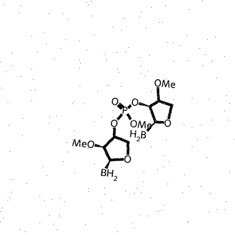 B[C@@H]1OCC(OP(=O)(OC)O[C@H]2C(OC)CO[C@H]2B)[C@@H]1OC